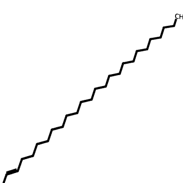 CCCCCCCCCCCCCCCCCCCCCCCC=CP